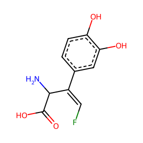 NC(C(=O)O)C(=CF)c1ccc(O)c(O)c1